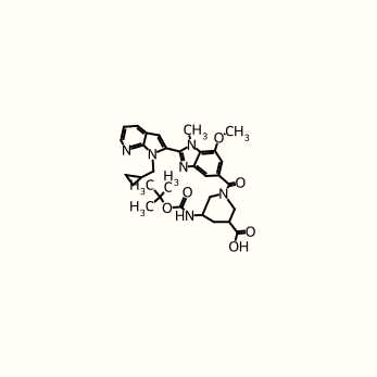 COc1cc(C(=O)N2CC(NC(=O)OC(C)(C)C)CC(C(=O)O)C2)cc2nc(-c3cc4cccnc4n3CC3CC3)n(C)c12